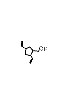 C=CC1CC(C=C)C(CO)C1